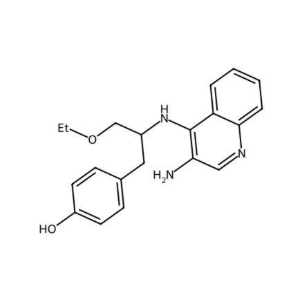 CCOCC(Cc1ccc(O)cc1)Nc1c(N)cnc2ccccc12